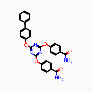 NC(=O)c1ccc(Oc2nc(Oc3ccc(C(N)=O)cc3)nc(Oc3ccc(-c4ccccc4)cc3)n2)cc1